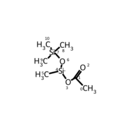 CC(=O)O[Si](C)O[Si](C)(C)C